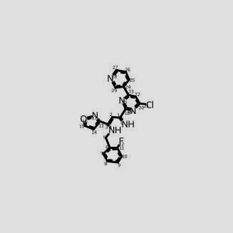 N=C(/C=C(\NCc1ccccc1F)c1ccon1)c1nc(Cl)cc(-c2cccnc2)n1